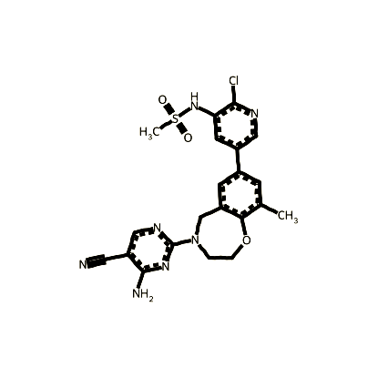 Cc1cc(-c2cnc(Cl)c(NS(C)(=O)=O)c2)cc2c1OCCN(c1ncc(C#N)c(N)n1)C2